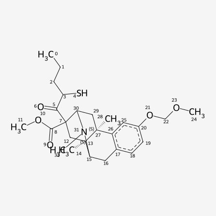 CCCC(S)C(=O)C1(C(=O)OC)C[C@]2(C)C3Cc4ccc(OCOC)cc4[C@]2(C)CC1N3C